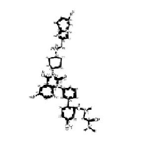 CN(CC(=O)N(C)C)Cc1cc(O)ccc1-c1cccc(-n2c(=O)n([C@H]3CC[C@@H](NCc4cn5cc(F)ccc5n4)CC3)c(=O)c3cc(F)cnc32)c1